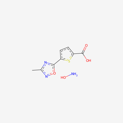 Cc1noc(-c2ccc(C(=O)O)s2)n1.NO